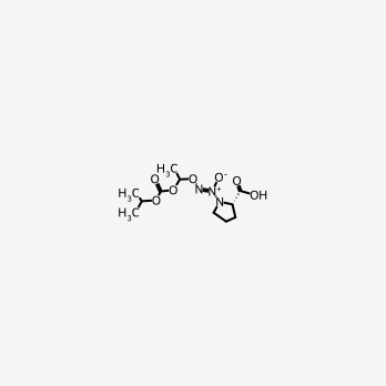 CC(C)OC(=O)OC(C)O/N=[N+](\[O-])N1CCC[C@H]1C(=O)O